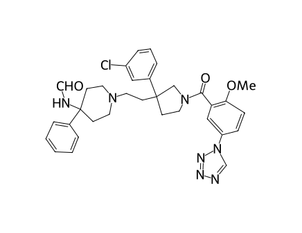 COc1ccc(-n2cnnn2)cc1C(=O)N1CCC(CCN2CCC(NC=O)(c3ccccc3)CC2)(c2cccc(Cl)c2)C1